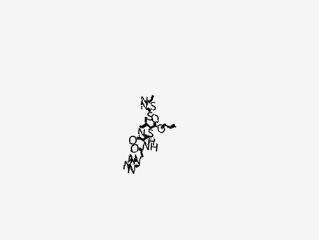 C=CCOC(=O)C1S[C@@H]2C(NC(=O)Cn3cnnn3)C(=O)N2C=C1CSc1nnc(C)s1